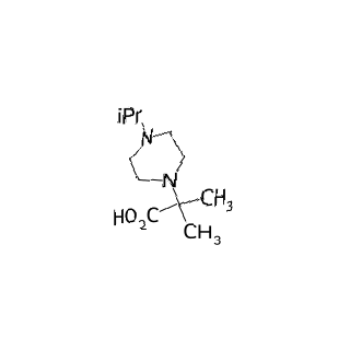 CC(C)N1CCN(C(C)(C)C(=O)O)CC1